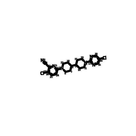 N#Cc1nc(N2CCC(C3CCN(c4ncc(Cl)cn4)CC3)CC2)ccc1Cl